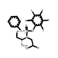 CCC(CC)CN([C@@H](CC(C)C)C(=O)O)[P@](=O)(Oc1ccccc1)Oc1c(F)c(F)c(F)c(F)c1F